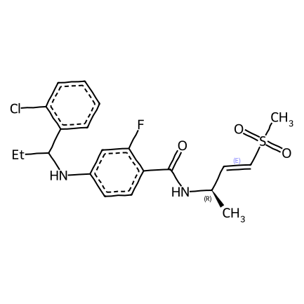 CCC(Nc1ccc(C(=O)N[C@H](C)/C=C/S(C)(=O)=O)c(F)c1)c1ccccc1Cl